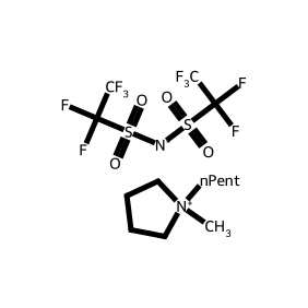 CCCCC[N+]1(C)CCCC1.O=S(=O)([N-]S(=O)(=O)C(F)(F)C(F)(F)F)C(F)(F)C(F)(F)F